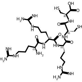 N=C(N)NCCC[C@H](NC(=O)[C@H](CCCNC(=N)N)NC(=O)[C@@H](N)CCCNC(=N)N)C(=O)N[C@@H](CS)C(=O)N[C@@H](CS)C(=O)O